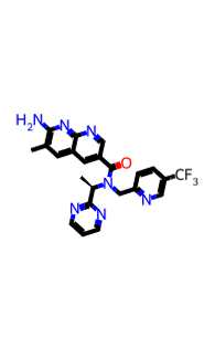 Cc1cc2cc(C(=O)N(Cc3ccc(C(F)(F)F)cn3)[C@H](C)c3ncccn3)cnc2nc1N